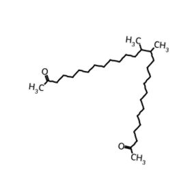 CC(=O)CCCCCCCCCCCC(C)C(C)CCCCCCCCCCCC(C)=O